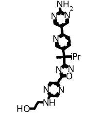 CC(C)C(C)(c1ccc(-c2cnc(N)nc2)nc1)c1noc(-c2cnc(NCCO)cn2)n1